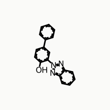 Oc1ccc(-c2ccccc2)cc1-n1nc2ccccc2n1